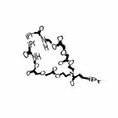 CC(C)CCC(=O)N(CCOC(=O)COCC(=O)OCNC(=O)C(C)C)CCOC(=O)COCC(=O)OCNC(=O)C(C)C